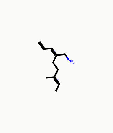 C=C/C=C(/CN)CC/C(C)=C/C